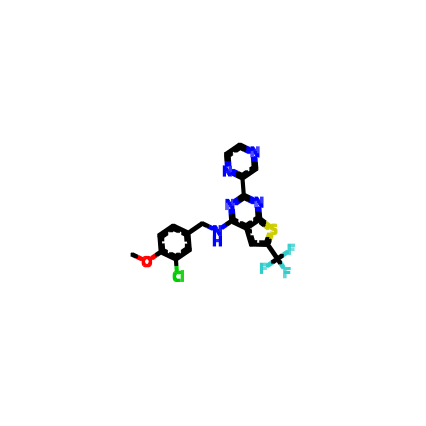 COc1ccc(CNc2nc(-c3cnccn3)nc3sc(C(F)(F)F)cc23)cc1Cl